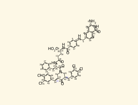 Nc1nc2nc(CNc3ccc(C(=O)N[C@H](CCC(=O)N[C@H](Cc4ccccc4)C(=O)N4C/C(=C\c5ccc(Cl)c(Cl)c5)C(=O)/C(=C/c5ccc(Cl)c(Cl)c5)C4)C(=O)O)cc3)cnc2c(=O)[nH]1